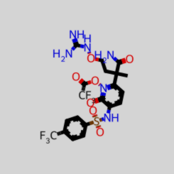 CC(CCONC(=N)N)(C(N)=O)c1ccc(NS(=O)(=O)c2ccc(C(F)(F)F)cc2)c(=O)n1OC(=O)C(F)(F)F